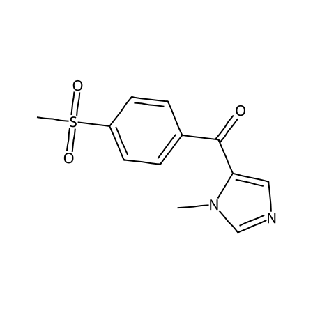 Cn1cncc1C(=O)c1ccc(S(C)(=O)=O)cc1